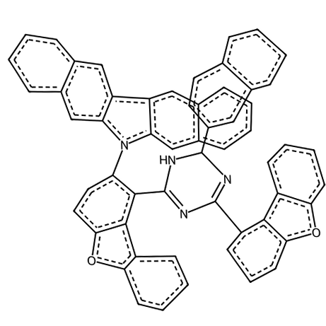 c1ccc2cc(C3N=C(c4cccc5oc6ccccc6c45)N=C(c4c(-n5c6cc7ccccc7cc6c6cc7ccccc7cc65)ccc5oc6ccccc6c45)N3)ccc2c1